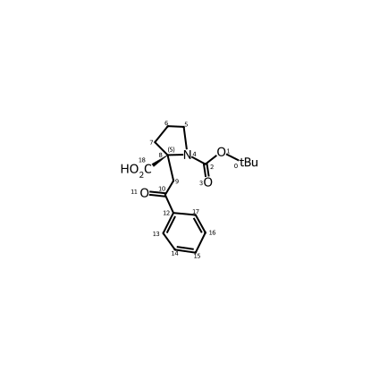 CC(C)(C)OC(=O)N1CCC[C@]1(CC(=O)c1ccccc1)C(=O)O